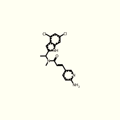 CC(c1cc2c(Cl)cc(Cl)cc2[nH]1)N(C)C(=O)/C=C/c1ccc(N)nc1